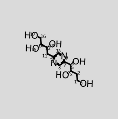 OCC[C@@H](O)[C@H](O)c1cnc(C[C@H](O)[C@H](O)CO)cn1